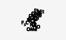 CCN(CC)C(=O)Nc1ncc(-c2cncc(C(=O)OC)c2)c(-c2nc(C(F)(F)F)cs2)c1C(=O)OC